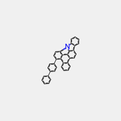 c1ccc(-c2ccc(-c3ccc4c5c3c3ccccc3c3ccc6c7ccccc7n4c6c35)cc2)cc1